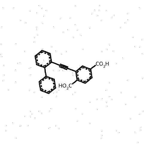 O=C(O)c1ccc(C(=O)O)c(C#Cc2ccccc2-c2ccccc2)c1